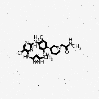 CNC(=O)CN1CCC[C@@H](c2cc(C)c(Nc3ncc(Cl)c(Nc4cc(C)[nH]n4)n3)cc2C)C1